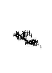 Cc1cc(F)ccc1CCN(CCCCC(=O)c1ccc2c(c1)CCC(=O)N2C)C(=O)OC(C)(C)C